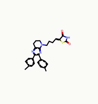 Cc1ccc(-c2nc3c(nc2-c2ccc(C)cc2)N(CCC/C=C2\SC(=O)NC2=O)CCC3)cc1